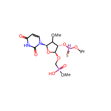 COC1[C@H](n2ccc(=O)[nH]c2=O)O[C@H](OCP(=O)(O)OC)[C@H]1O[PH](=S)OC(C)C